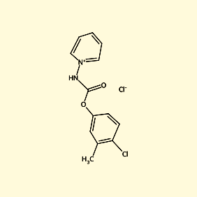 Cc1cc(OC(=O)N[n+]2ccccc2)ccc1Cl.[Cl-]